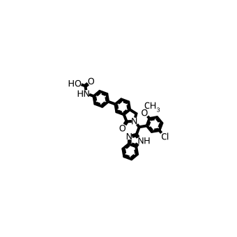 COc1ccc(Cl)cc1C(c1nc2ccccc2[nH]1)N1Cc2ccc(-c3ccc(NC(=O)O)cc3)cc2C1=O